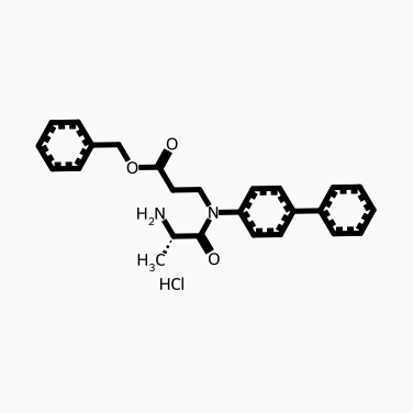 C[C@H](N)C(=O)N(CCC(=O)OCc1ccccc1)c1ccc(-c2ccccc2)cc1.Cl